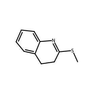 CSC1=Nc2ccccc2CC1